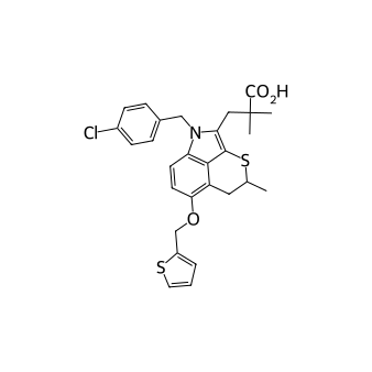 CC1Cc2c(OCc3cccs3)ccc3c2c(c(CC(C)(C)C(=O)O)n3Cc2ccc(Cl)cc2)S1